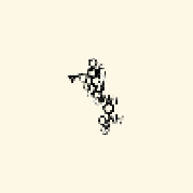 COCC(=O)N[C@H]1CC[C@H](NC(=O)c2c[nH]c3c(-c4cc(F)c(OC)cc4OCC4CC4)ncnc23)CC1